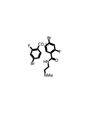 CNCCNC(=O)c1ccc(Br)cc1F.O=C(O)c1ccc(Br)cc1F